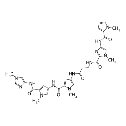 Cn1cnc(NC(=O)c2cc(NC(=O)c3cc(NC(=O)CCNC(=O)c4nc(NC(=O)c5cccn5C)cn4C)cn3C)cn2C)c1